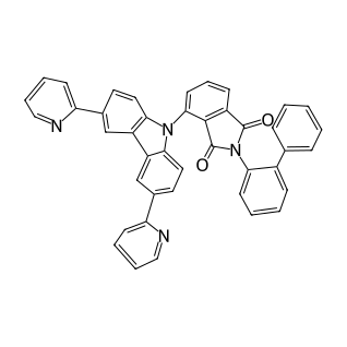 O=C1c2cccc(-n3c4ccc(-c5ccccn5)cc4c4cc(-c5ccccn5)ccc43)c2C(=O)N1c1ccccc1-c1ccccc1